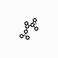 c1ccc(-c2cc(-c3cc(-c4ccc(N(c5ccccc5)c5ccccc5)cc4)cc4ccccc34)cc3c2oc2ccccc23)cc1